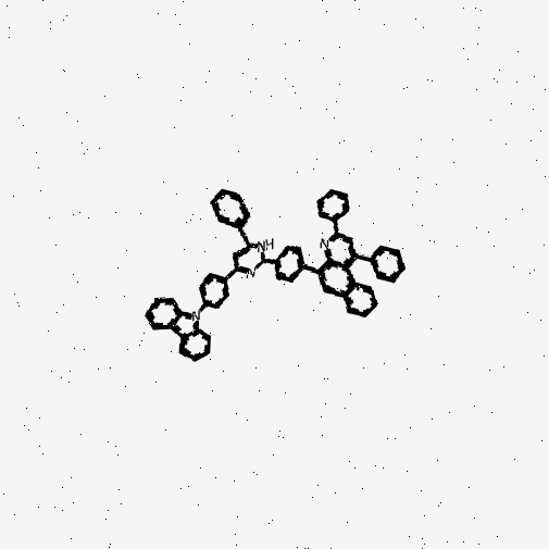 C1=C(c2ccccc2)NC(c2ccc(-c3cc4ccccc4c4c(-c5ccccc5)cc(-c5ccccc5)nc34)cc2)N=C1c1ccc(-n2c3ccccc3c3ccccc32)cc1